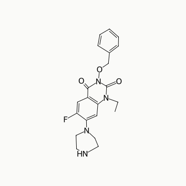 CCn1c(=O)n(OCc2ccccc2)c(=O)c2cc(F)c(N3CCNCC3)cc21